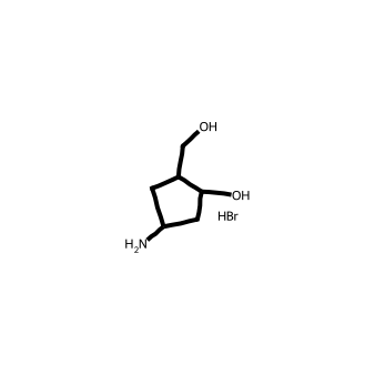 Br.NC1CC(O)C(CO)C1